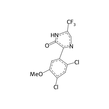 COc1cc(-c2ncc(C(F)(F)F)[nH]c2=O)c(Cl)cc1Cl